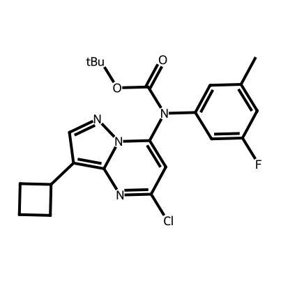 Cc1cc(F)cc(N(C(=O)OC(C)(C)C)c2cc(Cl)nc3c(C4CCC4)cnn23)c1